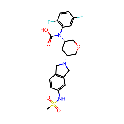 CS(=O)(=O)Nc1ccc2c(c1)CN([C@H]1COC[C@@H](N(C(=O)O)c3cc(F)ccc3F)C1)C2